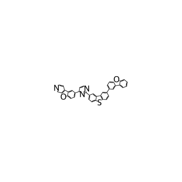 c1ccc2c(c1)oc1ccc(-c3ccc4sc5ccc(-c6nccc(-c7ccc8oc9cnccc9c8c7)n6)cc5c4c3)cc12